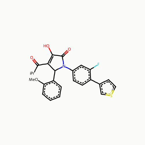 COc1ccccc1C1C(C(=O)C(C)C)=C(O)C(=O)N1c1ccc(-c2ccsc2)c(F)c1